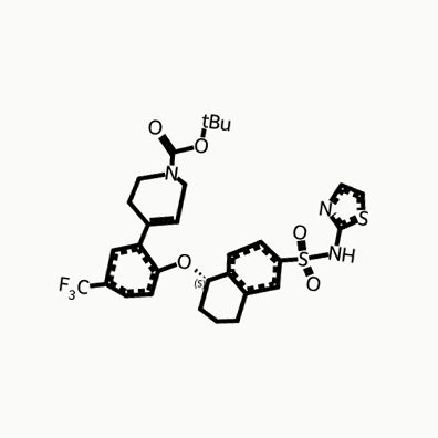 CC(C)(C)OC(=O)N1CC=C(c2cc(C(F)(F)F)ccc2O[C@H]2CCCc3cc(S(=O)(=O)Nc4nccs4)ccc32)CC1